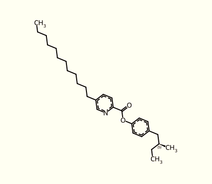 CCCCCCCCCCCCc1ccc(C(=O)Oc2ccc(C[C@@H](C)CC)cc2)nc1